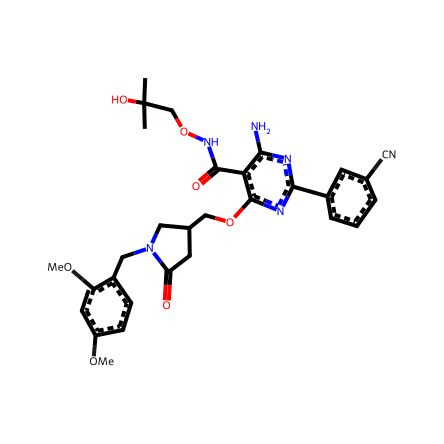 COc1ccc(CN2CC(COc3nc(-c4cccc(C#N)c4)nc(N)c3C(=O)NOCC(C)(C)O)CC2=O)c(OC)c1